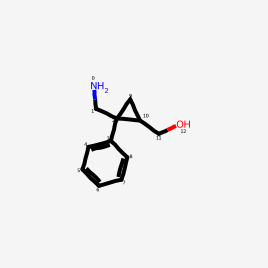 NCC1(c2ccccc2)CC1CO